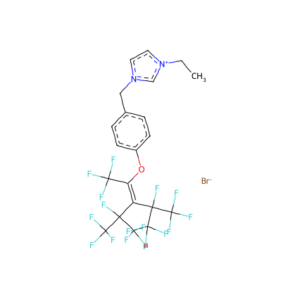 CC[n+]1ccn(Cc2ccc(OC(=C(C(F)(C(F)(F)F)C(F)(F)F)C(F)(C(F)(F)F)C(F)(F)F)C(F)(F)F)cc2)c1.[Br-]